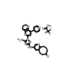 Nc1nc(Nc2cnc3c(c2)CCC(=O)CCC3)nn1-c1cc(-c2ccncc2)c2c(n1)C1CCN2CC1.O=C(O)C(F)(F)F